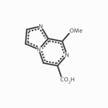 COc1nc(C(=O)O)cn2ccnc12